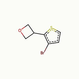 Brc1ccsc1C1COC1